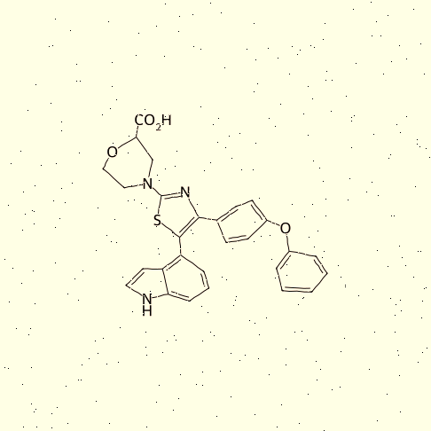 O=C(O)C1CN(c2nc(-c3ccc(Oc4ccccc4)cc3)c(-c3cccc4[nH]ccc34)s2)CCO1